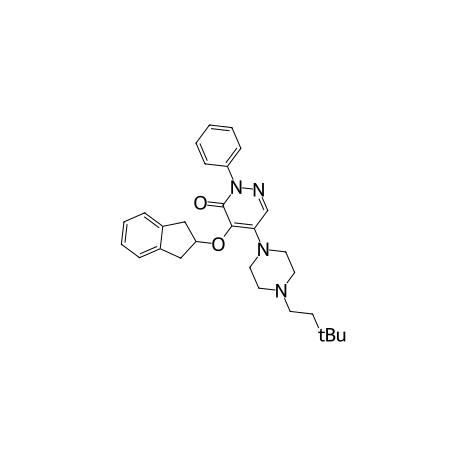 CC(C)(C)CCN1CCN(c2cnn(-c3ccccc3)c(=O)c2OC2Cc3ccccc3C2)CC1